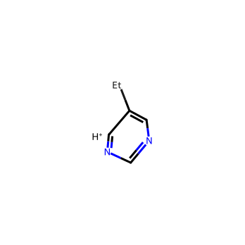 [CH2]Cc1cncnc1.[H+]